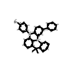 CC1(C)c2ccccc2N2c3cc(-c4ccccc4)ccc3N(c3ccc(Br)cc3)c3cccc1c32